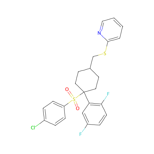 O=S(=O)(c1ccc(Cl)cc1)C1(c2cc(F)ccc2F)CCC(CSc2ccccn2)CC1